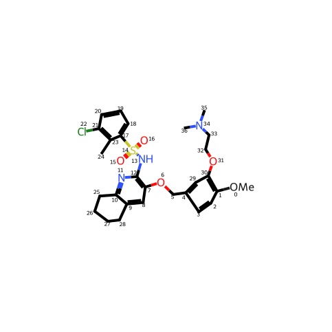 COc1ccc(COc2cc3c(nc2NS(=O)(=O)c2cccc(Cl)c2C)CCCC3)cc1OCCN(C)C